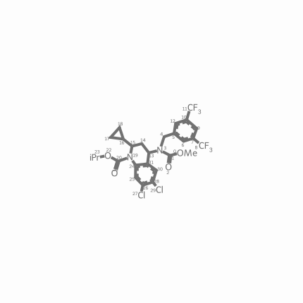 COC(=O)N(Cc1cc(C(F)(F)F)cc(C(F)(F)F)c1)C1CC(C2CC2)N(C(=O)OC(C)C)c2cc(Cl)c(Cl)cc21